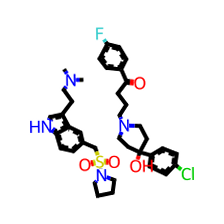 CN(C)CCc1c[nH]c2ccc(CS(=O)(=O)N3CCCC3)cc12.O=C(CCCN1CCC(O)(c2ccc(Cl)cc2)CC1)c1ccc(F)cc1